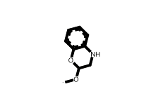 [CH2]OC1CNc2ccccc2O1